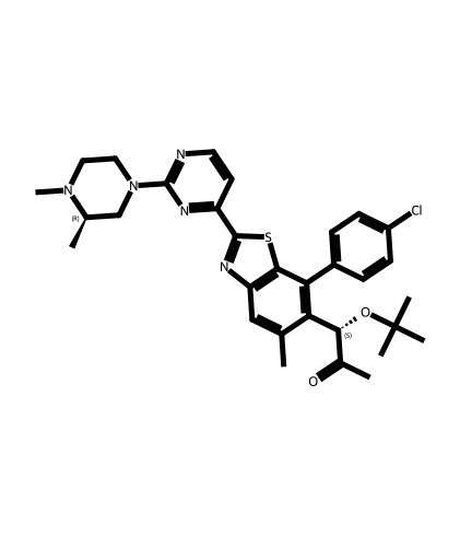 CC(=O)[C@@H](OC(C)(C)C)c1c(C)cc2nc(-c3ccnc(N4CCN(C)[C@H](C)C4)n3)sc2c1-c1ccc(Cl)cc1